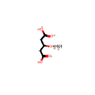 O=C(O)CC(O)CC(=O)O.[KH].[KH]